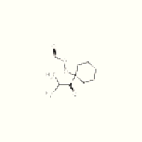 CC(C)C(=O)C1(OOC=O)CCCCC1